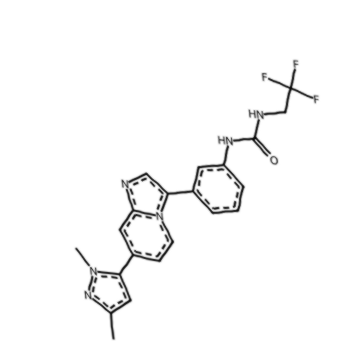 Cc1cc(-c2ccn3c(-c4cccc(NC(=O)NCC(F)(F)F)c4)cnc3c2)n(C)n1